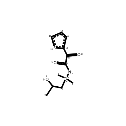 CC(O)C[N+](C)(C)[N-]C(=O)C(=O)c1cccs1